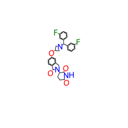 O=C1CCC(N2Cc3cc(OC4CN(C(c5cccc(F)c5)c5cccc(F)c5)C4)ccc3C2=O)C(=O)N1